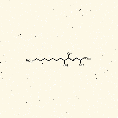 CCCCCC(O)C=CC(O)C(O)CCCCCCCC(=O)O